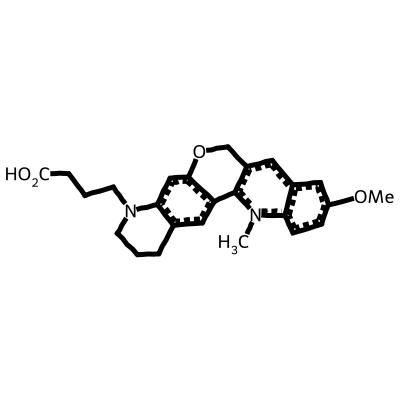 COc1ccc2c(c1)cc1c([n+]2C)-c2cc3c(cc2OC1)N(CCCC(=O)O)CCC3